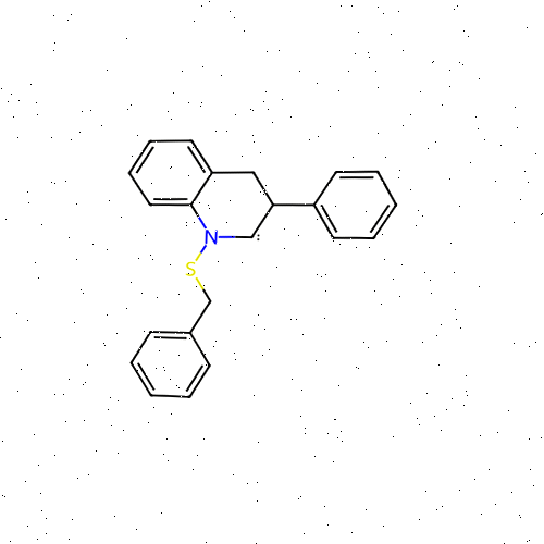 [C]1C(c2ccccc2)Cc2ccccc2N1SCc1ccccc1